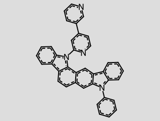 c1ccc(-n2c3ccccc3c3cc4c(ccc5c6ccccc6n(-c6cc(-c7cccnc7)ccn6)c45)cc32)cc1